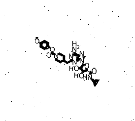 COc1ccc(OC(=O)N2CCC(Cc3nc(N)c4ncn([C@@H]5O[C@H](C(=O)NC6CC6)C(O)C5O)c4n3)CC2)cc1